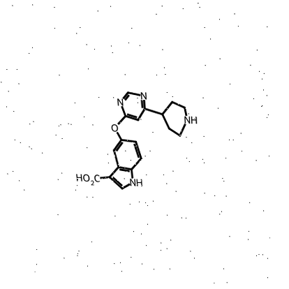 O=C(O)c1c[nH]c2ccc(Oc3cc(C4CCNCC4)ncn3)cc12